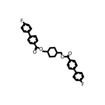 O=C(OCC1CCC(COC(=O)c2ccc(-c3ccc(F)cc3)cc2)CC1)c1ccc(-c2ccc(F)cc2)cc1